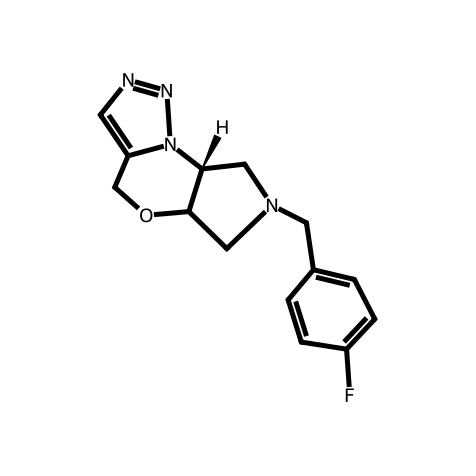 Fc1ccc(CN2CC3OCc4cnnn4[C@@H]3C2)cc1